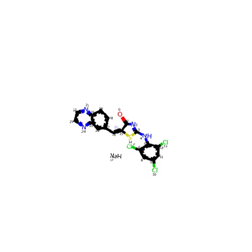 O=C1N=C(Nc2c(Cl)cc(Cl)cc2Cl)S/C1=C/c1ccc2nccnc2c1.[NaH]